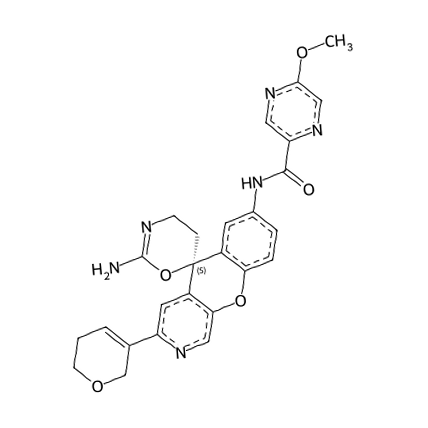 COc1cnc(C(=O)Nc2ccc3c(c2)[C@@]2(CCN=C(N)O2)c2cc(C4=CCCOC4)ncc2O3)cn1